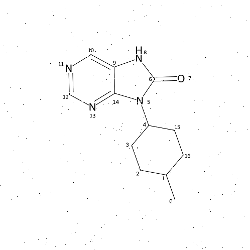 CC1CCC(n2c(=O)[nH]c3cncnc32)CC1